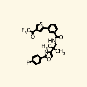 CC(C)(CNC(=O)c1cccc(-c2cc(C(=O)C(F)(F)F)cs2)c1)c1coc(-c2ccc(F)cc2)n1